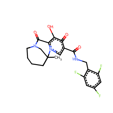 CC12CCCCN(C1)C(=O)c1c(O)c(=O)c(C(=O)NCc3c(F)cc(F)cc3F)cn12